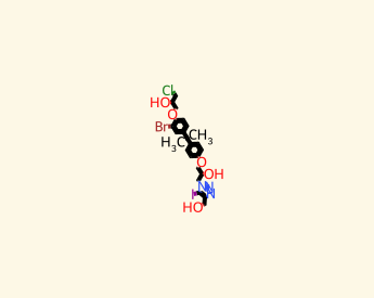 CC(C)(c1ccc(OCC(O)Cn2nnc(CO)c2I)cc1)c1ccc(OCC(O)CCl)c(Br)c1